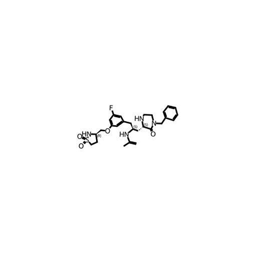 C=C(C)N[C@@H](Cc1cc(F)cc(OC[C@H]2CCS(=O)(=O)N2)c1)C[C@@H]1NCCN(Cc2ccccc2)C1=O